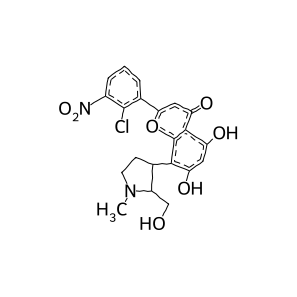 CN1CCC(c2c(O)cc(O)c3c(=O)cc(-c4cccc([N+](=O)[O-])c4Cl)oc23)C1CO